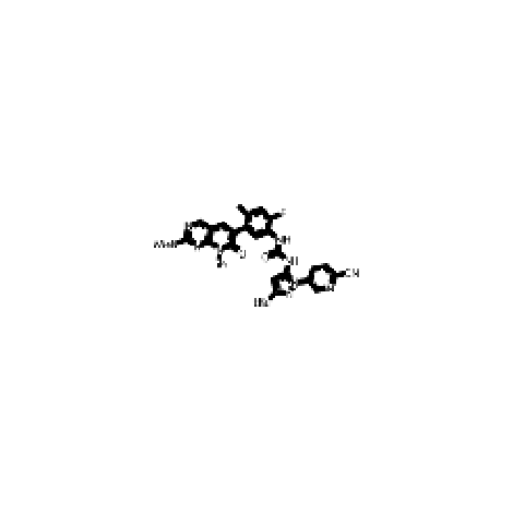 CNc1ncc2cc(-c3cc(NC(=O)Nc4cc(C(C)(C)C)nn4-c4ccc(C#N)nc4)c(F)cc3C)c(=O)n(C(C)C)c2n1